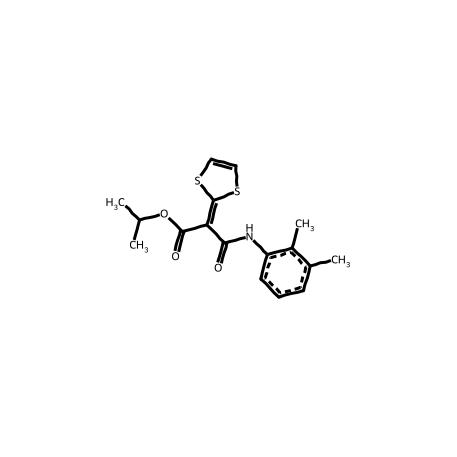 Cc1cccc(NC(=O)C(C(=O)OC(C)C)=C2SC=CS2)c1C